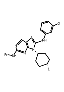 CC(C)Nc1ncc2nc(Nc3cccc(Cl)c3)n([C@H]3CC[C@@H](C)CC3)c2n1